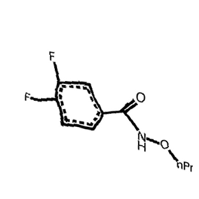 CCCONC(=O)c1ccc(F)c(F)c1